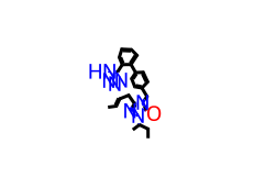 C/C=C/Cc1nn(C(C)CC)c(=O)n1Cc1ccc(-c2ccccc2-c2nnn[nH]2)cc1